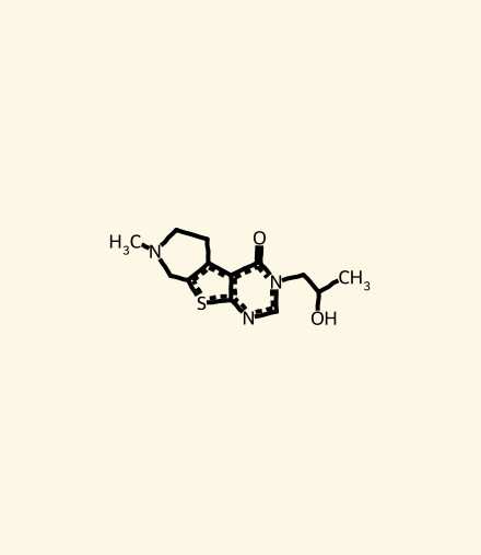 CC(O)Cn1cnc2sc3c(c2c1=O)CCN(C)C3